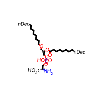 CCCCCCCCCCCCCCCCCCOC[C@H](COP(=O)(O)OC[C@H](N)C(=O)O)OC(=O)CCCCCCCCCCCCCCCCC